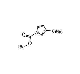 COc1ccn(C(=O)OC(C)(C)C)c1